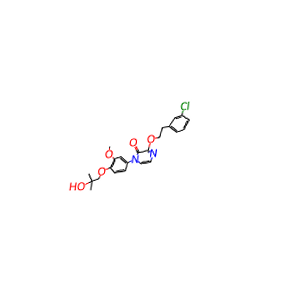 COc1cc(-n2ccnc(OCCc3cccc(Cl)c3)c2=O)ccc1OCC(C)(C)O